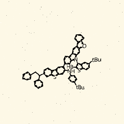 CC(C)(C)c1ccc(Nc2cc3sc4cc(C(Cc5ccccc5)c5ccccc5)ccc4c3cc2-c2ccc3c4cc5c(cc4n4c3c2Bc2sc3ccc(C(C)(C)C)cc3c2-4)oc2ccccc25)cc1